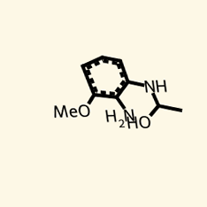 COc1cccc(NC(C)O)c1N